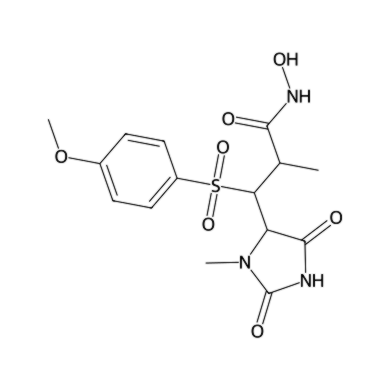 COc1ccc(S(=O)(=O)C(C(C)C(=O)NO)C2C(=O)NC(=O)N2C)cc1